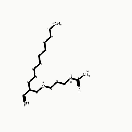 B=CC(CCCCCCCCCC)COCCCNC(C)=O